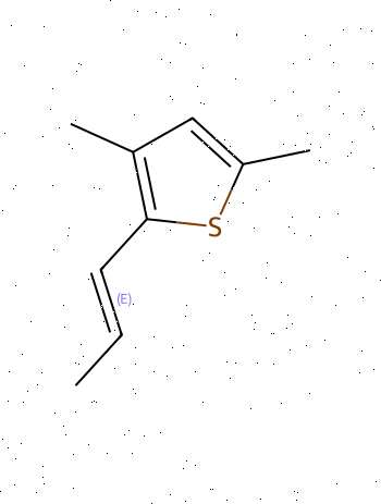 C/C=C/c1sc(C)cc1C